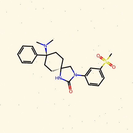 CN(C)[C@]1(c2ccccc2)CC[C@]2(CC1)CN(c1cccc(S(C)(=O)=O)c1)C(=O)N2